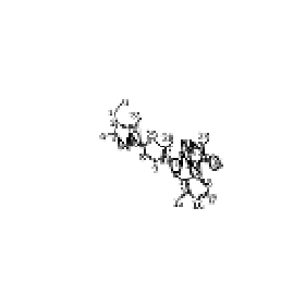 CCc1c(C)nn(-c2ccc(OCc3c(C)cccc3-n3nnn(C)c3=O)c(C)c2)c1C